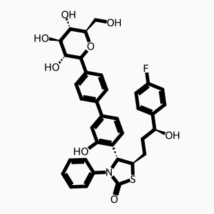 O=C1S[C@H](CC[C@H](O)c2ccc(F)cc2)[C@@H](c2ccc(-c3ccc(C4O[C@H](CO)[C@@H](O)[C@H](O)[C@H]4O)cc3)cc2O)N1c1ccccc1